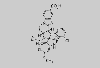 C=C1/C(=C\C(Cl)=C/C)NC(=O)[C@@]12[C@H](c1cccc(Cl)c1F)[C@H]1c3nc4cc(C(=O)O)ccc4n3CC[C@H]1N2CC1CC1